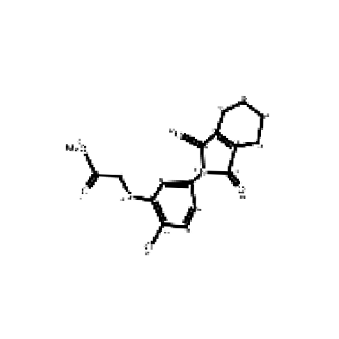 COC(=O)CSc1cc(N2C(=O)C3=C(CCCC3)C2=O)ccc1Cl